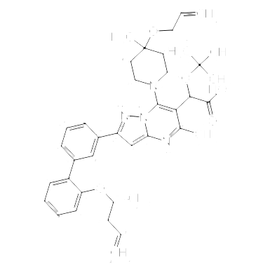 C=CCOC1(C)CCN(c2c(C(OC(C)(C)C)C(=O)O)c(C)nc3cc(-c4cccc(-c5ccccc5O[C@H](C)CC=C)c4)nn23)CC1